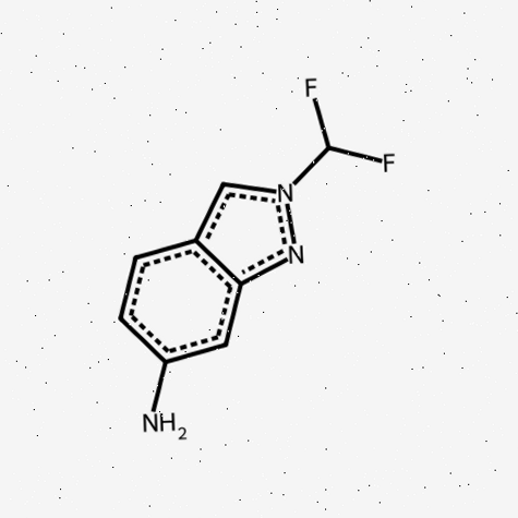 Nc1ccc2cn(C(F)F)nc2c1